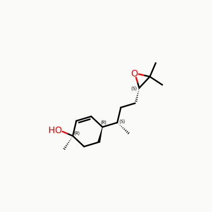 C[C@@H](CC[C@@H]1OC1(C)C)[C@@H]1C=C[C@](C)(O)CC1